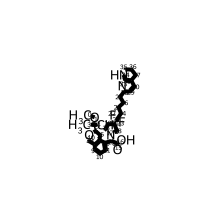 COC(C)(C)[C@H]1Cc2c(cccc2C(C(=O)O)N2CC[C@@H](C(F)(F)CCCCc3ccc4c(n3)NCCC4)C2)CO1